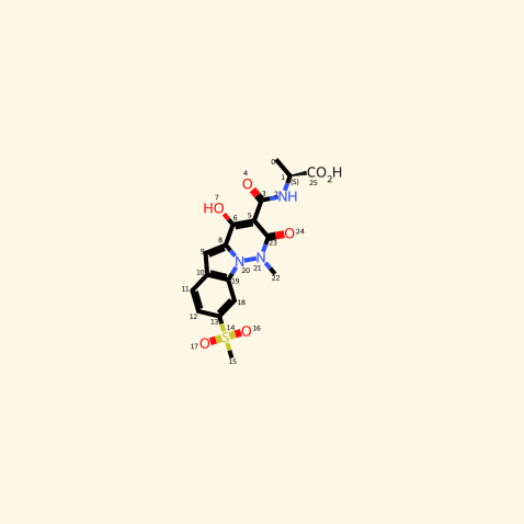 C[C@H](NC(=O)c1c(O)c2cc3ccc(S(C)(=O)=O)cc3n2n(C)c1=O)C(=O)O